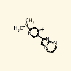 CN(C)c1cc(F)c(-c2cn3cccnc3n2)cn1